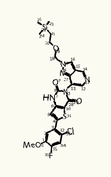 COc1cc(-c2cc3[nH]c(=O)n(-c4cncc5cn(COCC[Si](C)(C)C)nc45)c(=O)c3s2)c(Cl)cc1F